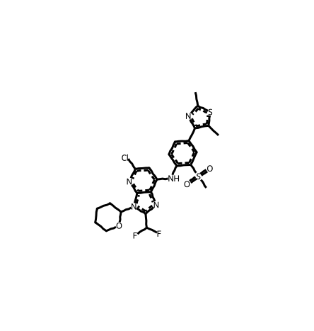 Cc1nc(-c2ccc(Nc3cc(Cl)nc4c3nc(C(F)F)n4C3CCCCO3)c(S(C)(=O)=O)c2)c(C)s1